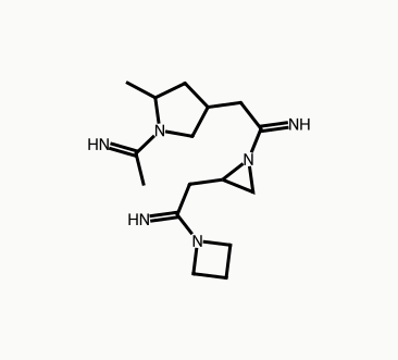 CC(=N)N1CC(CC(=N)N2CC2CC(=N)N2CCC2)CC1C